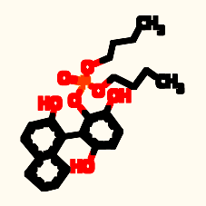 CCCCOP(=O)(OCCCC)Oc1c(O)ccc(O)c1-c1c(O)ccc2ccccc12